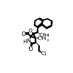 C[C@@]12[C@@H](CCCl)C(=O)NC13C(=O)OC32[C@@H](O)C1=C2CCCCC2=CCC1